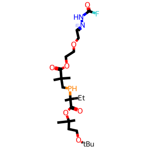 CCC(C)(PCC(C)(C)C(=O)OCCOC/C=N/NC(=O)F)C(=O)OC(C)(C)CCOC(C)(C)C